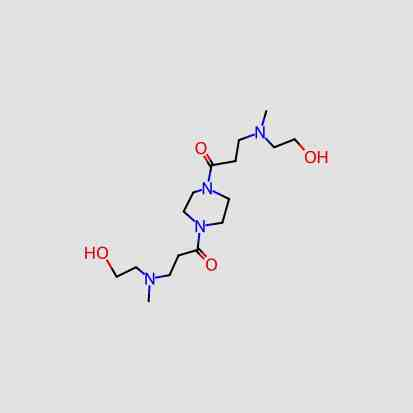 CN(CCO)CCC(=O)N1CCN(C(=O)CCN(C)CCO)CC1